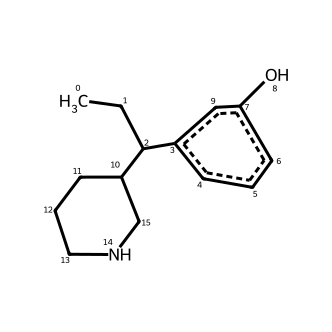 CCC(c1cccc(O)c1)C1CCCNC1